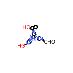 O=CC=CN1CCN(c2nc(N3CCN(CCO)CC3)nc3c2CCN(c2cc(O)cc4ccccc24)C3)CC1